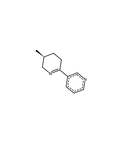 C[C@H]1CCC(c2cccnc2)=NC1